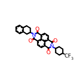 O=C1c2ccc3c4c(ccc(c24)C(=O)N1C1CCC(C(F)(F)F)CC1)C(=O)N(C1CCc2ccccc2C1)C3=O